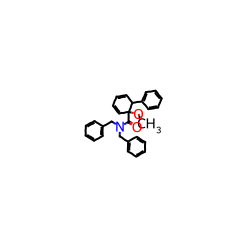 COC1(C(=O)N(Cc2ccccc2)Cc2ccccc2)C=CC=CC1c1ccccc1